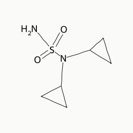 NS(=O)(=O)N(C1CC1)C1CC1